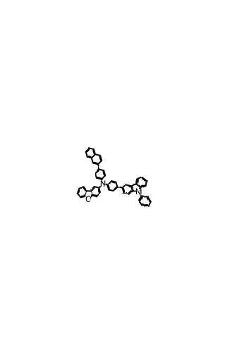 c1ccc(-n2c3ccccc3c3cc(-c4ccc(N(c5ccc(-c6ccc7ccccc7c6)cc5)c5ccc6oc7ccccc7c6c5)cc4)ccc32)cc1